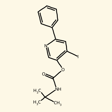 CC(C)(C)NC(=O)Oc1cnc(-c2ccccc2)cc1I